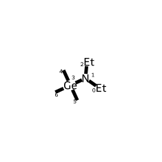 CC[N](CC)[Ge]([CH3])([CH3])[CH3]